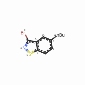 CCCCc1ccc2snc(Br)c2c1